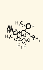 COCCOC(Cn1c(=O)n(C2(C)CNC(=O)C2)c(=O)c2c(C)c(-n3nccn3)sc21)c1cc(F)ccc1OC